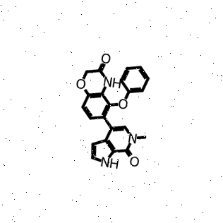 Cn1cc(-c2ccc3c(c2Oc2ccccc2)NC(=O)CO3)c2cc[nH]c2c1=O